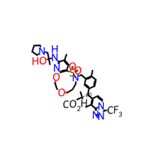 Cc1ccc([C@H](c2ccn3c(C(F)(F)F)nnc3c2C)C(C)(C)C(=O)O)cc1CN1CCCOCCOc2nc(NC(C)(O)CN3CCCC3)c(C)cc2S1(=O)=O